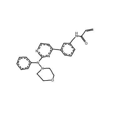 C=CC(=O)Nc1cccc(-c2ccnc(N(c3ccccc3)N3CCOCC3)n2)c1